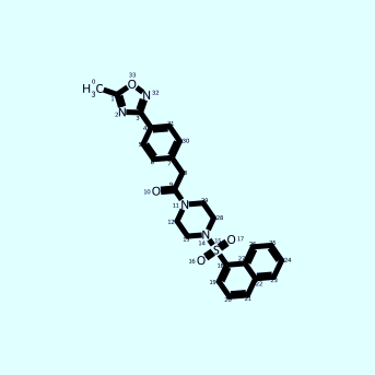 Cc1nc(-c2ccc(CC(=O)N3CCN(S(=O)(=O)c4cccc5ccccc45)CC3)cc2)no1